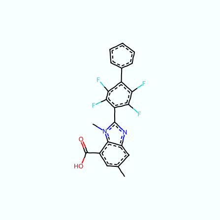 Cc1cc(C(=O)O)c2c(c1)nc(-c1c(F)c(F)c(-c3ccccc3)c(F)c1F)n2C